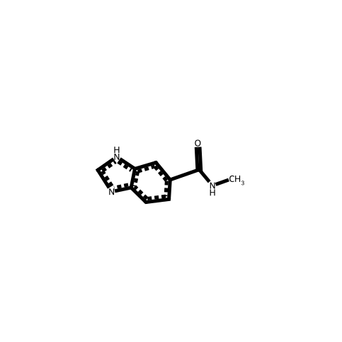 CNC(=O)c1ccc2nc[nH]c2c1